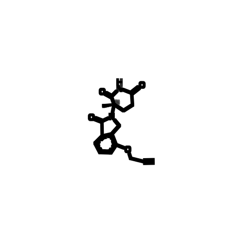 C#CCOc1cccc2c1CN([C@@]1(C)CCC(=O)NC1=O)C2=O